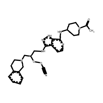 CC(=O)N1CCC(Nc2nccc3c(NCC(CN4CCc5ccccc5C4)OOC#N)n[nH]c23)CC1